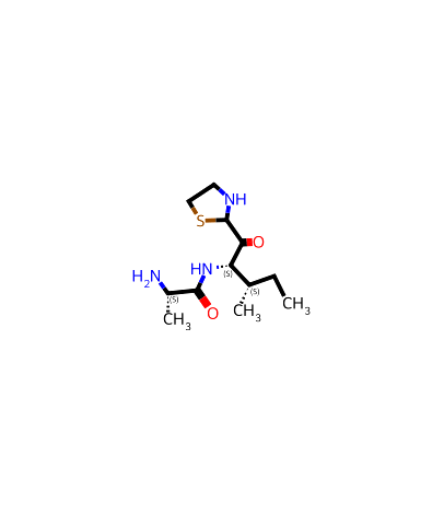 CC[C@H](C)[C@H](NC(=O)[C@H](C)N)C(=O)C1NCCS1